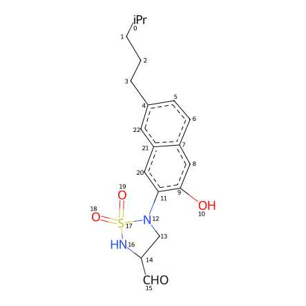 CC(C)CCCc1ccc2cc(O)c(N3CC(C=O)NS3(=O)=O)cc2c1